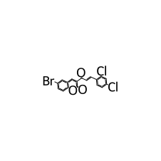 O=C(/C=C/c1ccc(Cl)cc1Cl)c1cc2cc(Br)ccc2oc1=O